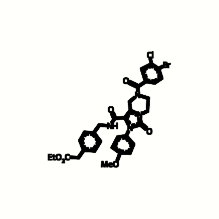 CCOC(=O)Cc1ccc(CNC(=O)c2c3n(c(=O)n2-c2ccc(OC)cc2)CCN(C(=O)c2ccc(Br)c(Cl)c2)C3)cc1